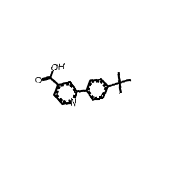 CC(C)(C)c1ccc(-c2cc(C(=O)O)ccn2)cc1